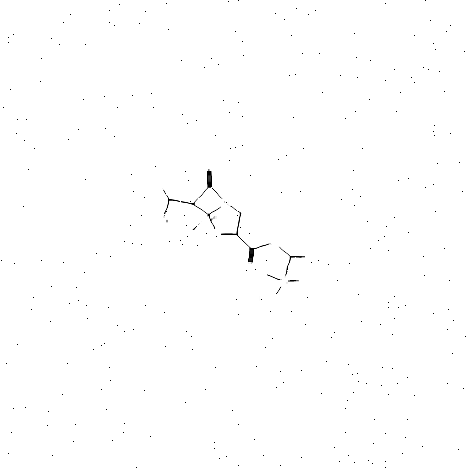 CC(O)C1C(=O)N2CC(C(=O)OC(C)[Si](C)(C)C)S[C@H]12